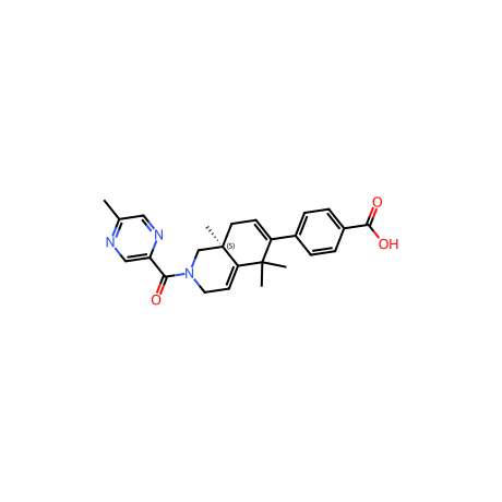 Cc1cnc(C(=O)N2CC=C3C(C)(C)C(c4ccc(C(=O)O)cc4)=CC[C@]3(C)C2)cn1